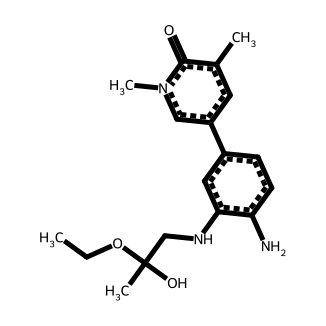 CCOC(C)(O)CNc1cc(-c2cc(C)c(=O)n(C)c2)ccc1N